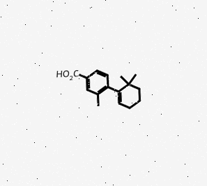 Cc1cc(C(=O)O)ccc1C1=CCCCC1(C)C